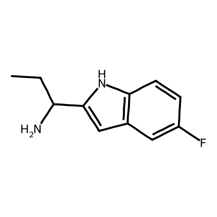 CCC(N)c1cc2cc(F)ccc2[nH]1